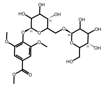 COC(=O)c1cc(OC)c(O[C@@H]2OC(CO[C@@H]3OC(CO)[C@@H](O)C(O)C3O)[C@@H](O)C(O)C2O)c(OC)c1